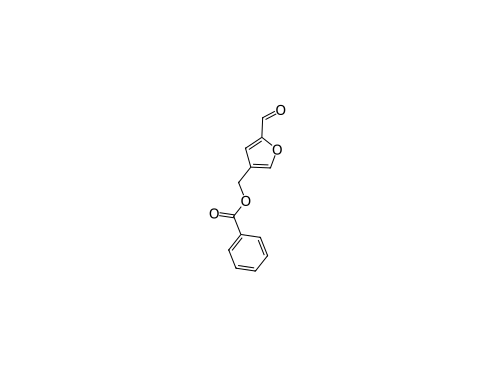 O=Cc1cc(COC(=O)c2ccccc2)co1